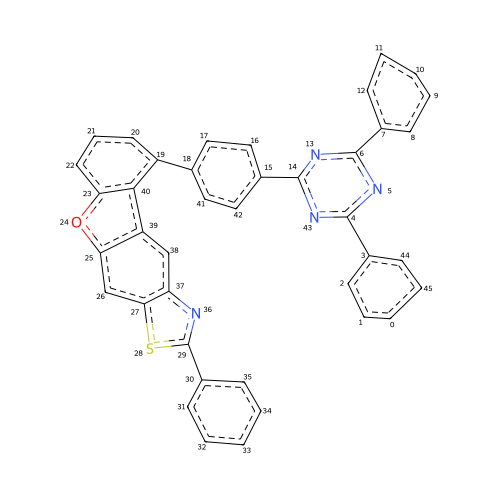 c1ccc(-c2nc(-c3ccccc3)nc(-c3ccc(-c4cccc5oc6cc7sc(-c8ccccc8)nc7cc6c45)cc3)n2)cc1